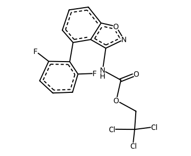 O=C(Nc1noc2cccc(-c3c(F)cccc3F)c12)OCC(Cl)(Cl)Cl